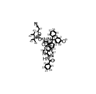 COc1ccc(C(N[C@H]2[C@@H](F)[C@H](n3cnc4c(NC(=O)c5ccccc5)ncnc43)O[C@@H]2COP(OCCC#N)N(C(C)C)C(C)C)(c2ccccc2)c2ccccc2)cc1